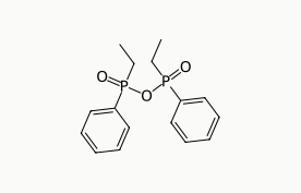 CCP(=O)(OP(=O)(CC)c1ccccc1)c1ccccc1